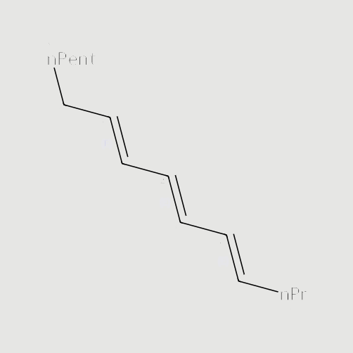 [CH2]CC/C=C/C=C/C=C/CCCCCC